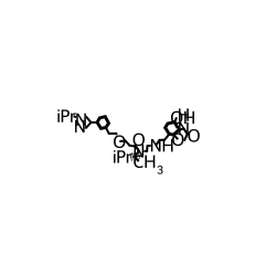 CC(C)[C@@H](C)N(CCNCCc1ccc(O)c2c1OCC(=O)N2)C(=O)CCOCCc1cccc(C2C=NN(C(C)C)C2)c1